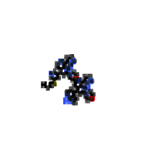 CSc1cncc(-c2cc(N3CCOCC3)nc3c(-c4ccn[nH]4)nccc23)c1.c1cc(-c2nccc3c(-c4ccnc5[nH]ccc45)cc(N4CCOCC4)nc23)[nH]n1